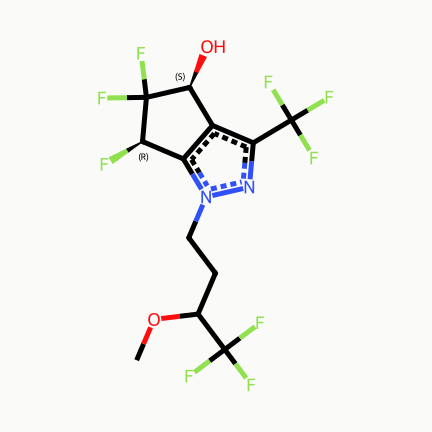 COC(CCn1nc(C(F)(F)F)c2c1[C@@H](F)C(F)(F)[C@H]2O)C(F)(F)F